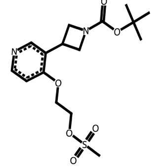 CC(C)(C)OC(=O)N1CC(c2cnccc2OCCOS(C)(=O)=O)C1